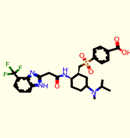 CC(C)N(C)C1CC[C@@H](NC(=O)Cc2nc3c(C(F)(F)F)cccc3[nH]2)[C@@H](CS(=O)(=O)c2ccc(C(=O)O)cc2)C1